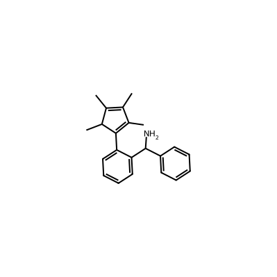 CC1=C(C)C(C)C(c2ccccc2C(N)c2ccccc2)=C1C